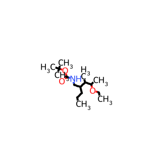 CCCC(CNC(=O)OC(C)(C)C)C(C)C(C)OCC